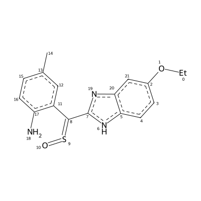 CCOc1ccc2[nH]c(C(=S=O)c3cc(C)ccc3N)nc2c1